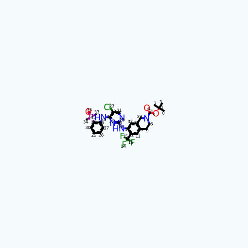 CC(C)(C)OC(=O)N1CCc2cc(C(F)(F)F)c(Nc3ncc(Cl)c(Nc4ccccc4P(C)(C)=O)n3)cc2C1